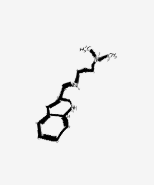 CN(C)CCN=Cc1cc2ccccc2[nH]1